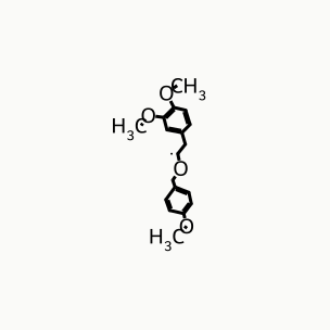 COc1ccc(CO[CH]Cc2ccc(OC)c(OC)c2)cc1